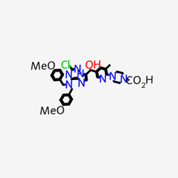 COc1ccc(CN(Cc2ccc(OC)cc2)c2nc(Cl)nn3c(C(O)c4cnc(N5CCN(C(=O)O)CC5)c(C)c4)cnc23)cc1